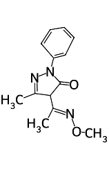 CON=C(C)C1C(=O)N(c2ccccc2)N=C1C